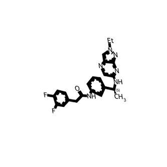 CCn1cc2ncc(N[C@@H](C)c3cccc(NC(=O)Cc4ccc(F)c(F)c4)c3)nc2n1